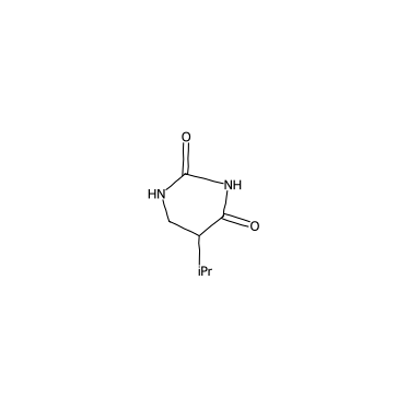 CC(C)C1CNC(=O)NC1=O